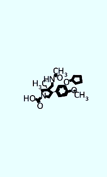 COc1ccc([C@@H]2CN(C(=O)O)C[C@@]2(C)CNC(C)=O)cc1OC1CCCC1